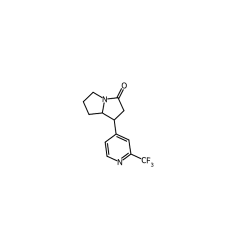 O=C1CC(c2ccnc(C(F)(F)F)c2)C2CCCN12